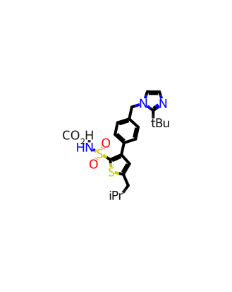 CC(C)Cc1cc(-c2ccc(Cn3ccnc3C(C)(C)C)cc2)c(S(=O)(=O)NC(=O)O)s1